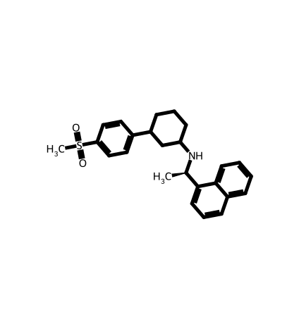 C[C@@H](NC1CCCC(c2ccc(S(C)(=O)=O)cc2)C1)c1cccc2ccccc12